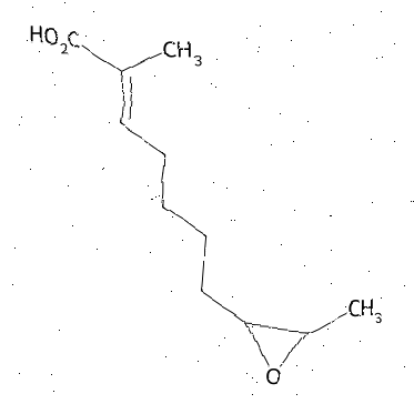 CC(=CCCCCC1OC1C)C(=O)O